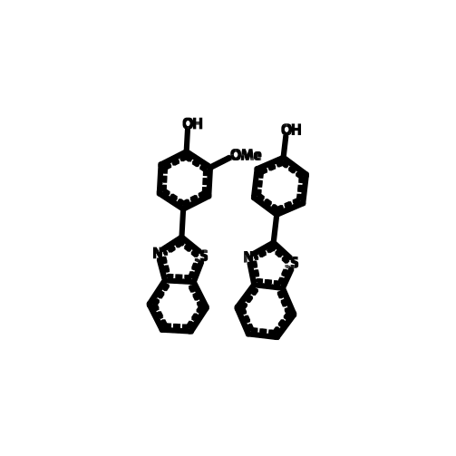 COc1cc(-c2nc3ccccc3s2)ccc1O.Oc1ccc(-c2nc3ccccc3s2)cc1